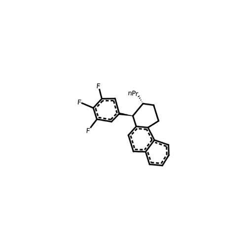 CCC[C@@H]1CCc2c(ccc3ccccc23)[C@H]1c1cc(F)c(F)c(F)c1